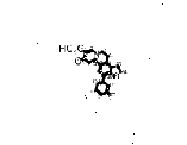 O=C(O)c1cn2c(cc1=O)-c1cc(-c3cccc(F)c3)c3c(c1CC2)CCO3